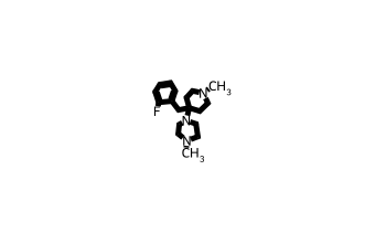 CN1CCN(C2(Cc3ccccc3F)CCN(C)CC2)CC1